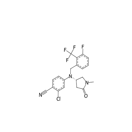 CN1C[C@@H](N(Cc2cccc(F)c2C(F)(F)F)c2ccc(C#N)c(Cl)c2)CC1=O